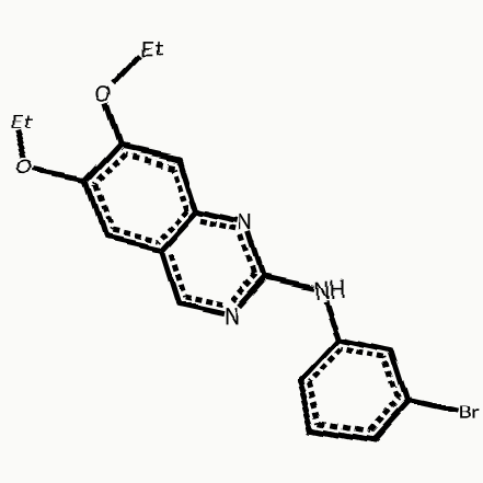 CCOc1cc2cnc(Nc3cccc(Br)c3)nc2cc1OCC